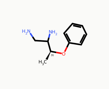 C[C@H](Oc1ccccc1)C(N)CN